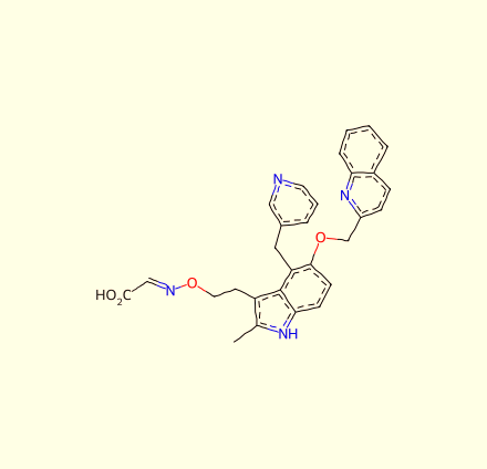 Cc1[nH]c2ccc(OCc3ccc4ccccc4n3)c(Cc3cccnc3)c2c1CCON=CC(=O)O